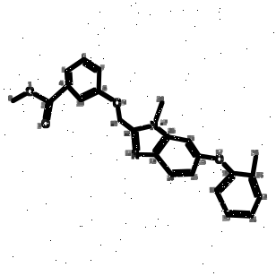 COC(=O)c1cccc(OCc2nc3ccc(Oc4ccccc4C)cc3n2C)c1